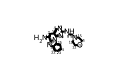 Nc1cc2cnc(NCCN3CCOCC3)nc2n2c1nc1ccccc12